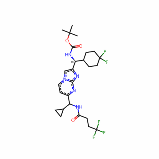 CC(C)(C)OC(=O)N[C@H](c1cn2ccc(C(NC(=O)CCC(F)(F)F)C3CC3)nc2n1)C1CCC(F)(F)CC1